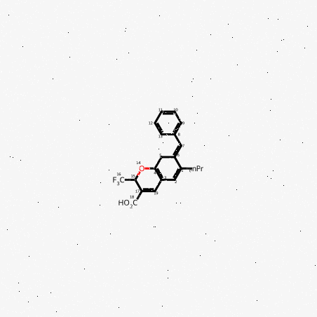 CCCC1=CC2=C(CC1=Cc1ccccc1)OC(C(F)(F)F)C(C(=O)O)=C2